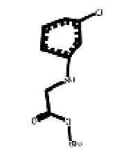 CC(C)(C)OC(=O)CNc1cccc(Cl)c1